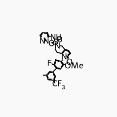 COc1cc(-c2cc(C)cc(C(F)(F)F)c2)c(F)cc1-n1c2c(ccc1=O)CN(S(=O)(=O)Nc1cccnn1)CC2